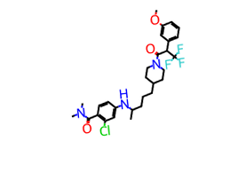 COc1cccc(C(C(=O)N2CCC(CCCC(C)Nc3ccc(C(=O)N(C)C)c(Cl)c3)CC2)C(F)(F)F)c1